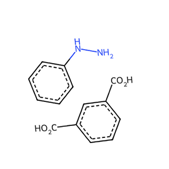 NNc1ccccc1.O=C(O)c1cccc(C(=O)O)c1